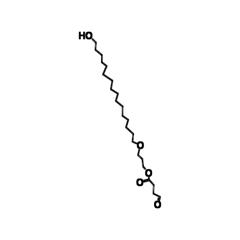 O=CCCC(=O)OCCCOCCCCCCCCCCCCCCCCO